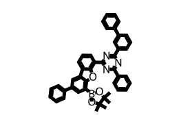 CC1(C)OB(c2cc(-c3ccccc3)cc3c2oc2c(-c4nc(-c5ccccc5)nc(-c5cccc(-c6ccccc6)c5)n4)cccc23)OC1(C)C